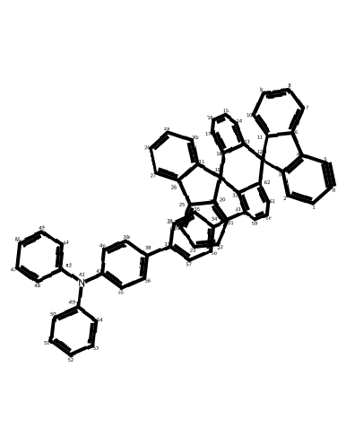 c1ccc2c(c#1)-c1ccccc1C21c2ccccc2C2(c3ccccc3-c3ccccc32)c2c(-c3ccc(-c4ccc(N(c5ccccc5)c5ccccc5)cc4)cc3)cccc21